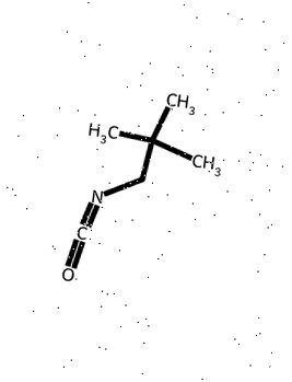 CC(C)(C)CN=C=O